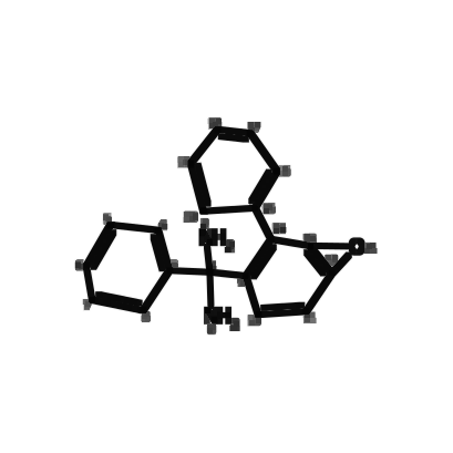 NC(N)(c1ccccc1)c1ccc2c(c1-c1ccccc1)O2